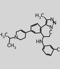 Cc1nnn2c1-c1ccc(C3=CCN(C(C)C)CC3)cc1C(Nc1cccc(Cl)c1)CC2